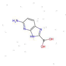 Nc1ccc2nc(B(O)O)[nH]c2n1